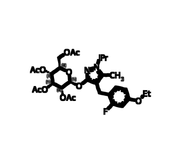 CCOc1ccc(Cc2c(O[C@@H]3O[C@H](COC(C)=O)[C@@H](OC(C)=O)[C@H](OC(C)=O)[C@H]3OC(C)=O)nn(C(C)C)c2C)c(F)c1